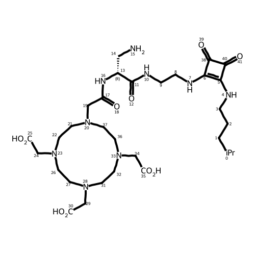 CC(C)CCCNc1c(NCCNC(=O)[C@@H](CN)NC(=O)CN2CCN(CC(=O)O)CCN(CC(=O)O)CCN(CC(=O)O)CC2)c(=O)c1=O